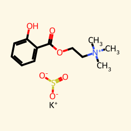 C[N+](C)(C)CCOC(=O)c1ccccc1O.O=S([O-])[O-].[K+]